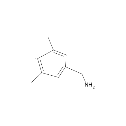 Cc1[c]c(C)cc(CN)c1